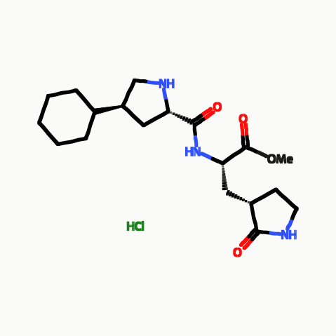 COC(=O)[C@H](C[C@@H]1CCNC1=O)NC(=O)[C@@H]1C[C@@H](C2CCCCC2)CN1.Cl